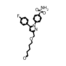 NS(=O)(=O)c1ccc(-n2nc(COCCCCC=O)cc2-c2ccc(F)cc2)cc1